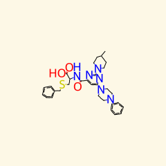 CC1CCN(c2nc(C(=O)NC(CSCc3ccccc3)C(=O)O)cc(N3CCN(c4ccccc4)CC3)n2)CC1